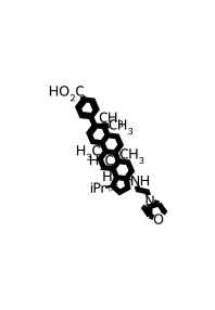 CC(C)[C@@H]1CC[C@]2(NCCN3CC4CC3CO4)CC[C@]3(C)[C@H](CCC4[C@@]5(C)CC=C(c6ccc(C(=O)O)cc6)C(C)(C)C5CC[C@]43C)C12